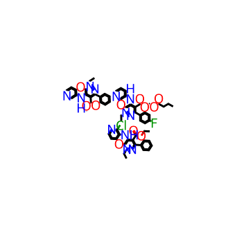 CCCC(=O)OCOC(=O)c1c(-c2ccc(F)cc2)nn(CC)c(=O)c1Nc1cccnc1.CCOC(=O)c1c(-c2ccccc2)nn(CC)c(=O)c1Nc1cccnc1Cl.CCn1nc(-c2ccccc2)c(C(=O)OC)c(Nc2cccnc2)c1=O